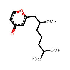 CCCCCCCCCCC(CCCC(Cc1cc(=O)cco1)OC)OC